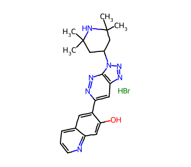 Br.CC1(C)CC(n2nnc3cc(-c4cc5cccnc5cc4O)nnc32)CC(C)(C)N1